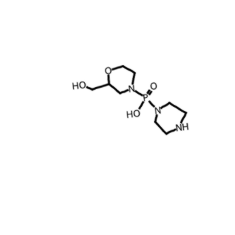 O=P(O)(N1CCNCC1)N1CCOC(CO)C1